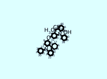 CC1(C)c2cc(Oc3ccc4c(c3)C3(CCCCC3)c3ccccc3N4c3ccccc3)ccc2N(c2ccccc2)c2c(O)cccc21